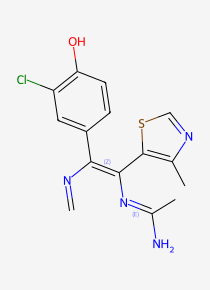 C=N/C(=C(\N=C(/C)N)c1scnc1C)c1ccc(O)c(Cl)c1